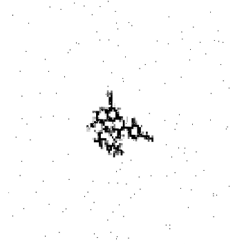 Cc1cc(C#N)ccc1[C@H](Nc1cc(C#N)c2ncc(C#N)c(NCC(C)(C)C)c2c1)c1cn(C2(C(F)(F)F)CC2)nn1